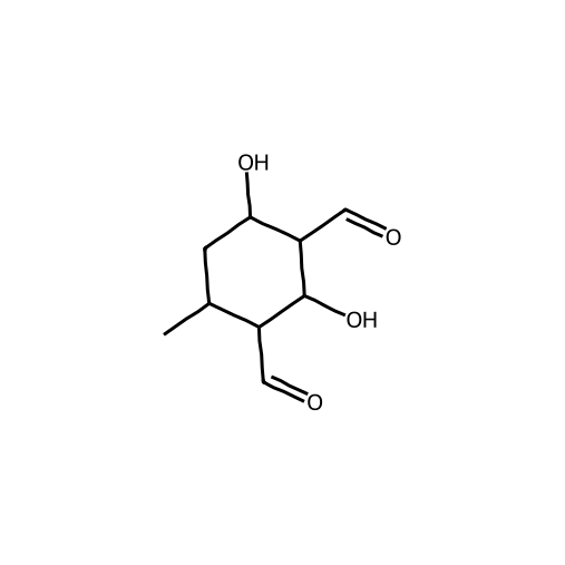 CC1CC(O)C(C=O)C(O)C1C=O